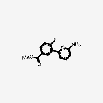 COC(=O)c1ccc(F)c(-c2cccc(N)n2)c1